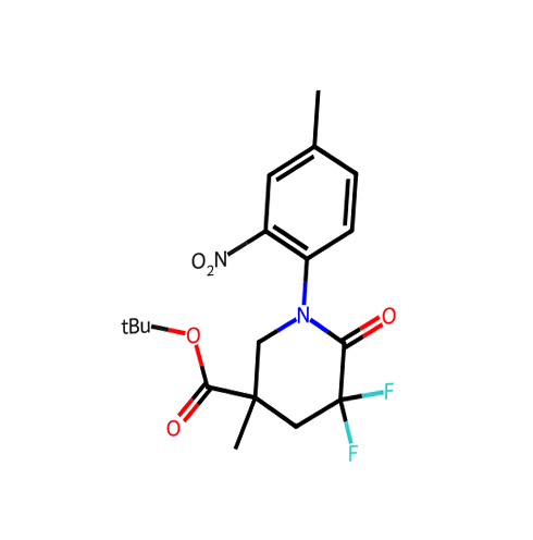 Cc1ccc(N2CC(C)(C(=O)OC(C)(C)C)CC(F)(F)C2=O)c([N+](=O)[O-])c1